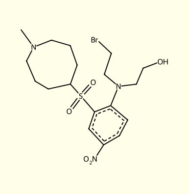 CN1CCCC(S(=O)(=O)c2cc([N+](=O)[O-])ccc2N(CCO)CCBr)CCC1